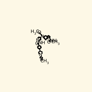 CNC(=O)n1ccc2cc(N(CCOC)c3ccnc(NC(=O)c4ccc(C5CCN(C6CN(C)C6)CC5)cc4)c3)ccc21